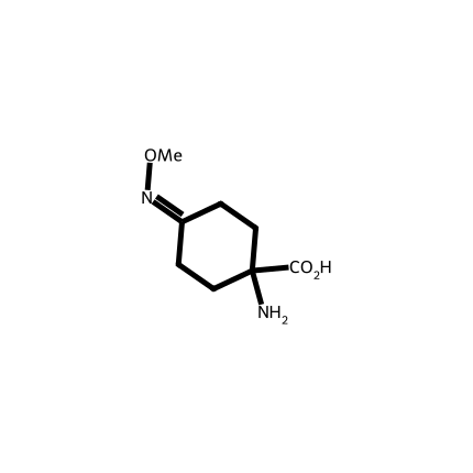 CON=C1CCC(N)(C(=O)O)CC1